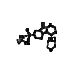 N#CC1(NS(=O)(=O)c2ccc3c(c2)[nH]c2ncnc(N4C5CCC4COC5)c23)CC1